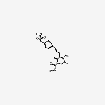 C=C1/C(=C\C=C\c2ccc(CS(N)(=O)=O)cc2)N(C(C)=O)[C@@H](C)CN1C(=O)OC(C)C